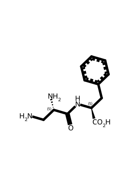 NC[C@H](N)C(=O)N[C@@H](Cc1ccccc1)C(=O)O